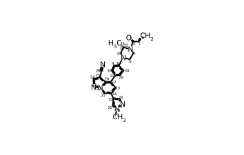 C=CC(=O)N1CCN(c2ccc(-c3cc(-c4cnn(C)c4)cn4ncc(C#N)c34)cc2)C[C@@H]1C